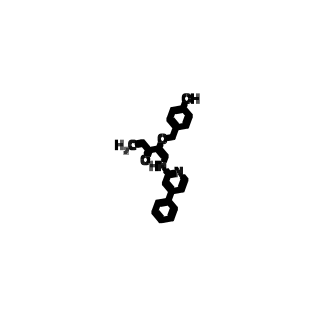 C=CC(=O)/C(=C\Nc1cc(-c2ccccc2)ccn1)OCc1ccc(O)cc1